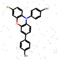 CC(C)(C)c1ccc(-c2ccc3c(c2)Oc2cc(Br)ccc2N3c2ccc(C(C)(C)C)cc2)cc1